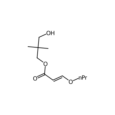 CCCOC=CC(=O)OCC(C)(C)CO